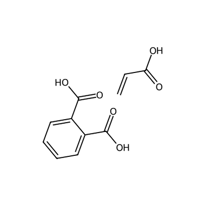 C=CC(=O)O.O=C(O)c1ccccc1C(=O)O